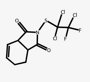 O=C1C2C=CCCC2C(=O)N1SC(Cl)(Cl)C(F)(F)Cl